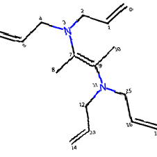 C=CCN(CC=C)C(C)=C(C)N(CC=C)CC=C